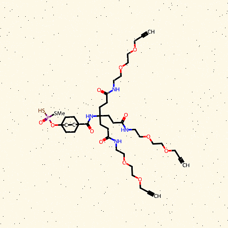 C#CCOCCOCCNC(=O)CCC(CCC(=O)NCCOCCOCC#C)(CCC(=O)NCCOCCOCC#C)NC(=O)C12CCC(OP(=O)(S)SC)(CC1)CC2